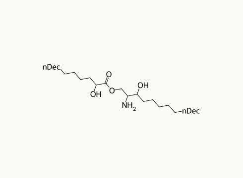 CCCCCCCCCCCCCCCC(O)C(N)COC(=O)C(O)CCCCCCCCCCCCCC